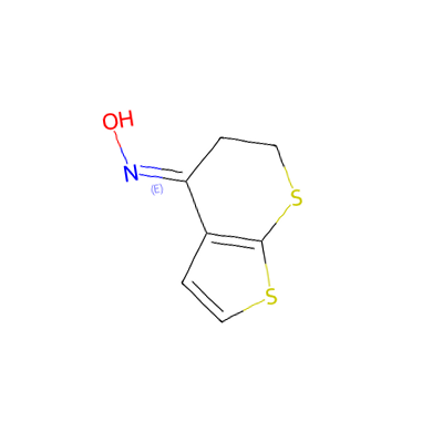 O/N=C1\CCSc2sccc21